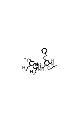 Cc1cc(C)c(CC(C)(C)NC(O)Cc2cc(OCc3ccccc3)cc3c2OCC(=O)N3)c(C)c1